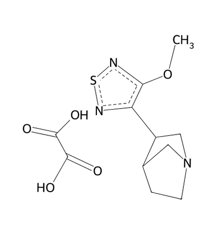 COc1nsnc1C1CN2CCC1C2.O=C(O)C(=O)O